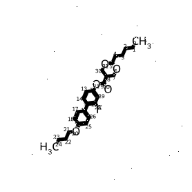 CCCCCC1OCC(C(=O)Oc2ccc(-c3ccc(OCCCC)cc3)c(F)c2)CO1